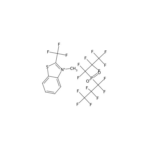 C[n+]1c(C(F)(F)F)sc2ccccc21.O=P([O-])(C(F)(F)C(F)(F)C(F)(F)F)C(F)(F)C(F)(F)C(F)(F)F